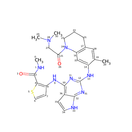 CNC(=O)c1sccc1Nc1nc(Nc2cc3c(cc2C)CCCN3C(=O)CN(C)C)nc2[nH]ccc12